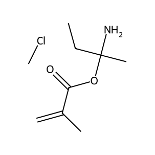 C=C(C)C(=O)OC(C)(N)CC.CCl